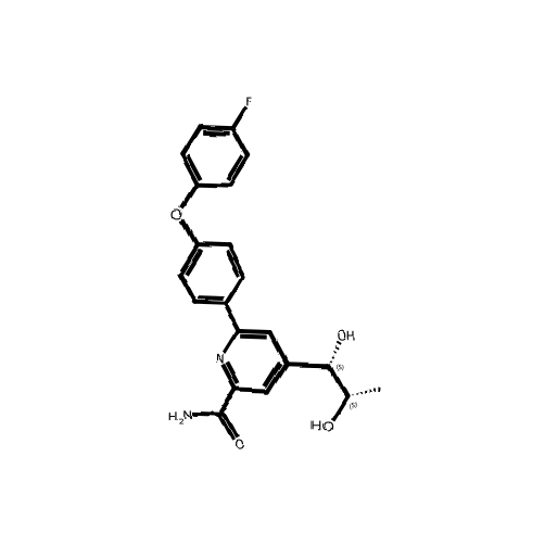 C[C@H](O)[C@@H](O)c1cc(C(N)=O)nc(-c2ccc(Oc3ccc(F)cc3)cc2)c1